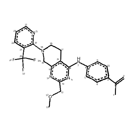 C=C(C)c1ccc(Nc2nc(COC)nc3c2CCN(c2ncccc2C(F)(F)F)C3)cc1